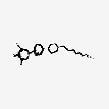 CCCCCCCC[C@H]1CC[C@H](c2ccc(-c3cc(F)c(F)c(F)c3)cc2)CC1